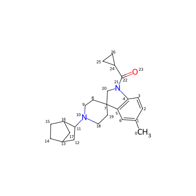 Cc1ccc2c(c1)C1(CCN(C3CC4CCC3C4)CC1)CN2C(=O)C1CC1